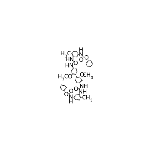 COc1cc(NC(=O)Nc2cc(NC(=O)Oc3ccccc3)ccc2C)ccc1-c1ccc(NC(=O)Nc2cc(NC(=O)Oc3ccccc3)ccc2C)cc1OC